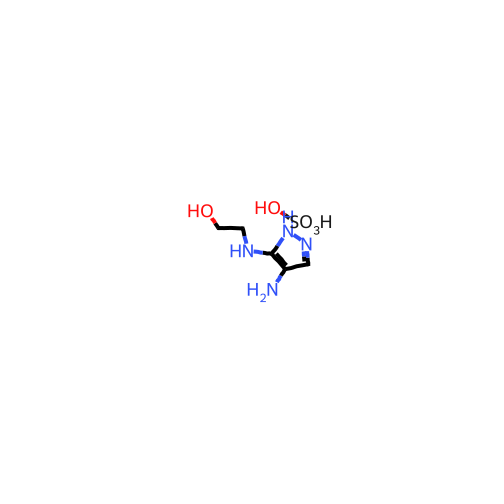 Nc1cn[nH]c1NCCO.O=S(=O)(O)O